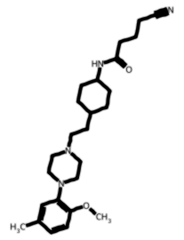 COc1ccc(C)cc1N1CCN(CCC2CCC(NC(=O)CCCC#N)CC2)CC1